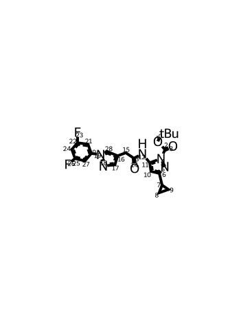 CC(C)(C)OC(=O)n1nc(C2CC2)cc1NC(=O)Cc1cnn(-c2cc(F)cc(F)c2)c1